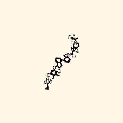 COc1cc(OC2CCc3c(-c4cccc(NC(=O)c5nc6c(n5C)CCN(C(C)C(F)(F)F)C6)c4C)cccc32)c(Cl)c(F)c1CNOC(=O)C1CC1